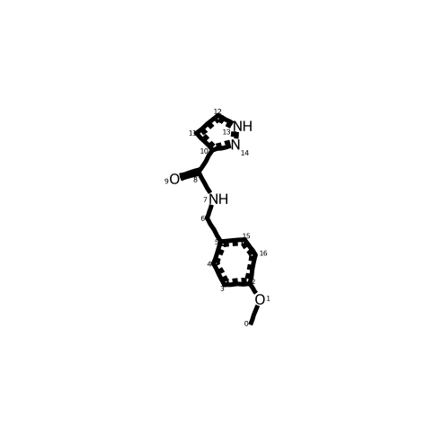 COc1ccc(CNC(=O)c2cc[nH]n2)cc1